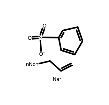 C=CCCCCCCCCCC.O=S(=O)([O-])c1ccccc1.[Na+]